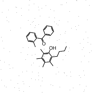 CCCCc1c(C)c(C)c(C)c(C)c1O.Cc1ccccc1C(=O)c1ccccc1